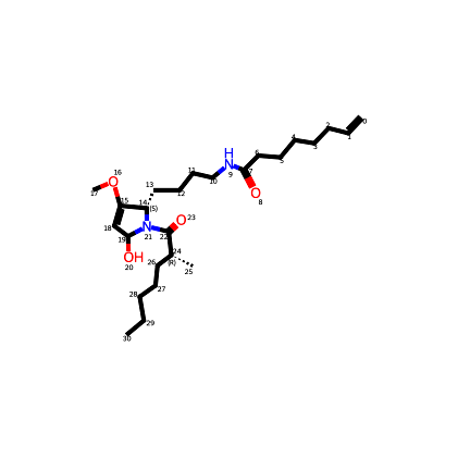 C=CCCCCCC(=O)NCCCC[C@H]1C(OC)=CC(O)N1C(=O)[C@H](C)CCCCC